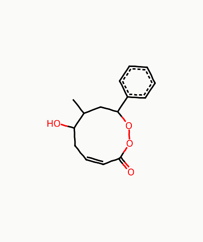 CC1CC(c2ccccc2)OOC(=O)C=CCC1O